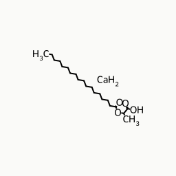 CCCCCCCCCCCCCCCCCC(=O)OC(C)C(=O)O.[CaH2]